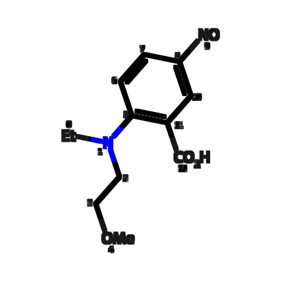 CCN(CCOC)c1ccc(N=O)cc1C(=O)O